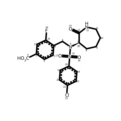 O=C(O)c1ccc(CN([C@@H]2CCCCNC2=O)S(=O)(=O)c2ccc(Cl)cc2)c(F)c1